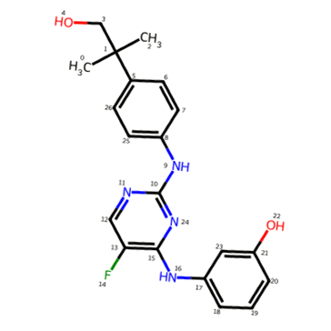 CC(C)(CO)c1ccc(Nc2ncc(F)c(Nc3cccc(O)c3)n2)cc1